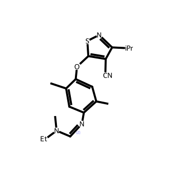 CCN(C)/C=N\c1cc(C)c(Oc2snc(C(C)C)c2C#N)cc1C